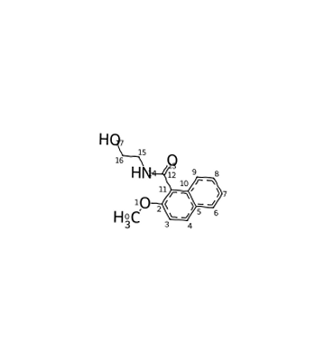 COc1ccc2ccccc2c1C(=O)NCCO